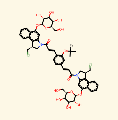 CCC(C)(C)Oc1cc(/C=C/C(=O)N2C[C@@H](CCl)c3c2cc(O[C@@H]2O[C@H](CO)[C@H](O)[C@H](O)[C@H]2O)c2ccccc32)ccc1/C=C/C(=O)N1C[C@@H](CCl)c2c1cc(O[C@@H]1O[C@H](CO)[C@H](O)[C@H](O)[C@H]1O)c1ccccc21